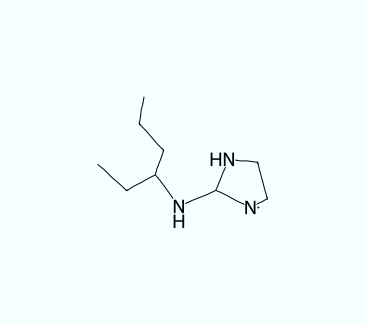 CCCC(CC)NC1[N]CCN1